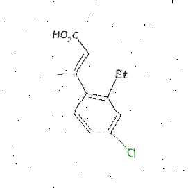 CCc1cc(Cl)ccc1C(C)=CC(=O)O